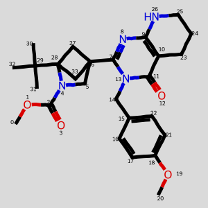 COC(=O)N1CC2(c3nc4c(c(=O)n3Cc3ccc(OC)cc3)CCCN4)CC1(C(C)(C)C)C2